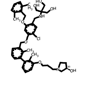 Cc1cccc(C)c1COc1cc(OCc2cccc(-c3cccc(OCCCN4CC[C@@H](O)C4)c3C)c2C)c(Cl)cc1CNC(CO)(CO)CO